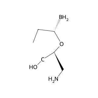 B[C@@H](CC)O[C@@H](CN)CO